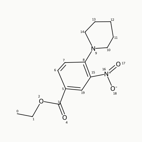 CCOC(=O)c1ccc(N2CCCCC2)c([N+](=O)[O-])c1